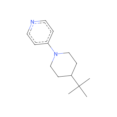 CC(C)(C)C1CCN(c2ccncc2)CC1